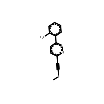 FC(F)(F)c1ccccc1-c1ccc(C#CSI)nn1